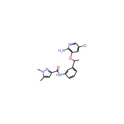 Cc1cc(C(=O)Nc2cccc(C(C)Oc3cc(Cl)cnc3N)c2)nn1C